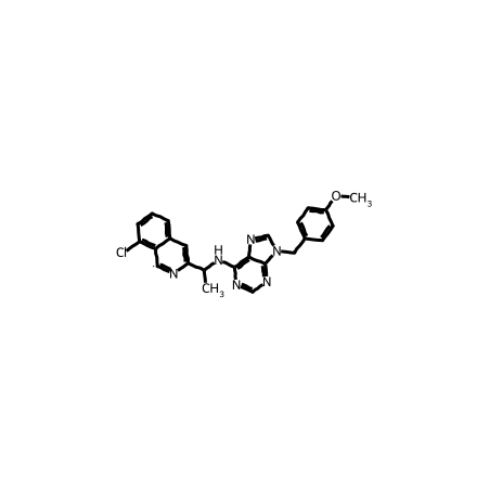 COc1ccc(Cn2cnc3c(NC(C)c4cc5cccc(Cl)c5[c]n4)ncnc32)cc1